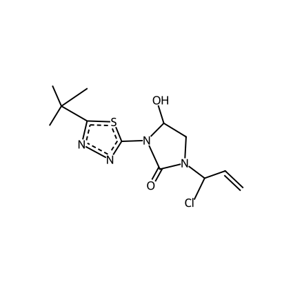 C=CC(Cl)N1CC(O)N(c2nnc(C(C)(C)C)s2)C1=O